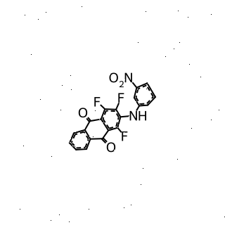 O=C1c2ccccc2C(=O)c2c(F)c(Nc3cccc([N+](=O)[O-])c3)c(F)c(F)c21